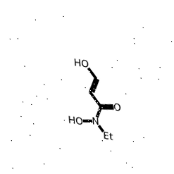 CCN(O)C(=O)C=CO